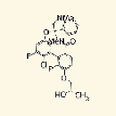 CNC[C@@]1(c2ccccc2)Cc2c(cc(F)c(Cl)c2-c2c(C(=O)NC)ccc(OC[C@H](C)O)c2F)O1